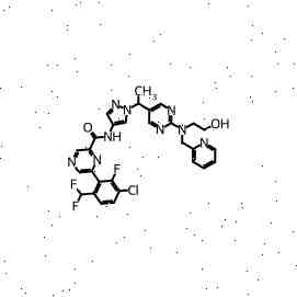 CC(c1cnc(N(CCO)Cc2ccccn2)nc1)n1cc(NC(=O)c2cncc(-c3c(C(F)F)ccc(Cl)c3F)n2)cn1